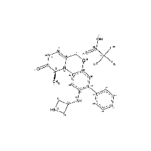 C[C@H]1C(=O)NN=C2COc3cc(-c4ccccc4)c(NC4CNC4)cc3N21.O=C(O)C(F)(F)F